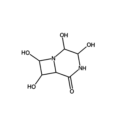 O=C1NC(O)C(O)N2C(O)C(O)C12